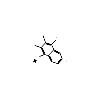 Cc1c(C)c([N+]#N)c2ccccc2c1N.[Cl-]